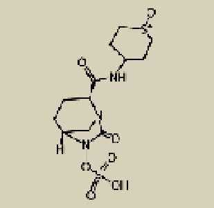 O=C(NC1CC[S+]([O-])CC1)[C@@H]1CC[C@@H]2CN1C(=O)N2OS(=O)(=O)O